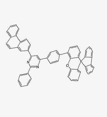 c1ccc(-c2nc(-c3ccc(-c4cccc5c4Oc4ccccc4C54c5ccccc5-c5ccccc54)cc3)cc(-c3ccc4c(ccc5ccccc54)c3)n2)cc1